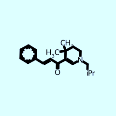 CC(C)CN1C=C(C(=O)C=Cc2ccccc2)C(C)(C)CC1